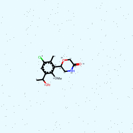 COc1c(C(C)O)cc(Cl)c(C)c1C1CNC(=O)CO1